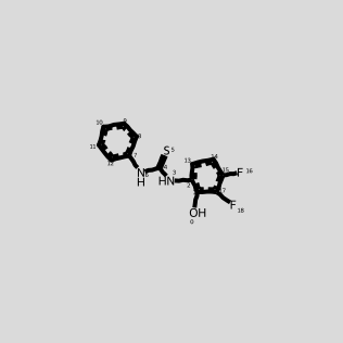 Oc1c(NC(=S)Nc2ccccc2)ccc(F)c1F